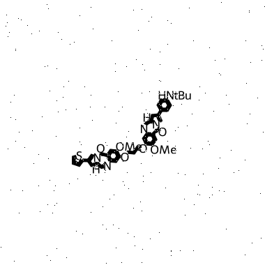 COc1cc2c(cc1OCCCOc1cc3c(cc1OC)C(=O)N1C=C(c4cccs4)C[C@H]1C=N3)N=C[C@@H]1CC(c3ccc(NC(C)(C)C)cc3)=CN1C2=O